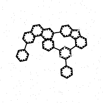 c1ccc(-c2ccc3ccc4cc(-c5ccc6oc7cccc(-c8nc(-c9ccccc9)nc(-c9ccccc9)n8)c7c6c5)ccc4c3c2)cc1